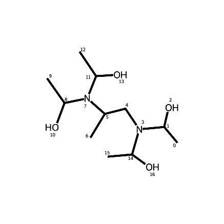 CC(O)N(CC(C)N(C(C)O)C(C)O)C(C)O